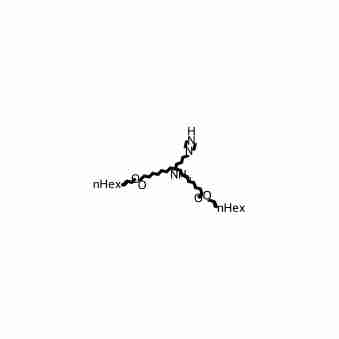 CCCCCC/C=C/COC(=O)CCCCCCCC(N)(CCCCCCCC(=O)OC/C=C/CCCCCC)CCCCN1CCNCC1